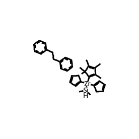 CC1=C(C)C(C)(C)[C]([Zr]([C]2=CC=CC2)([C]2=CC=CC2)[SiH](C)C)=C1C.c1ccc(CCc2ccccc2)cc1